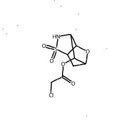 O=C(CCl)OC1C2CC3C(O2)C1NS3(=O)=O